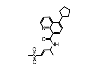 CC(C=CS(C)(=O)=O)NC(=O)c1ccc(C2CCCC2)c2cccnc12